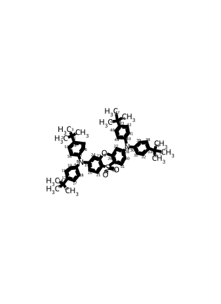 CC(C)(C)c1ccc(N(c2ccc(C(C)(C)C)cc2)c2ccc3c(c2)Oc2cc(N(c4ccc(C(C)(C)C)cc4)c4ccc(C(C)(C)C)cc4)ccc2S3(=O)=O)cc1